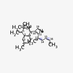 C=C1c2cc(C)ccc2C(C2=C(/C(C)=C\C=C/C)N=C2)=NC1(C)C